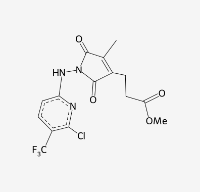 COC(=O)CCC1=C(C)C(=O)N(Nc2ccc(C(F)(F)F)c(Cl)n2)C1=O